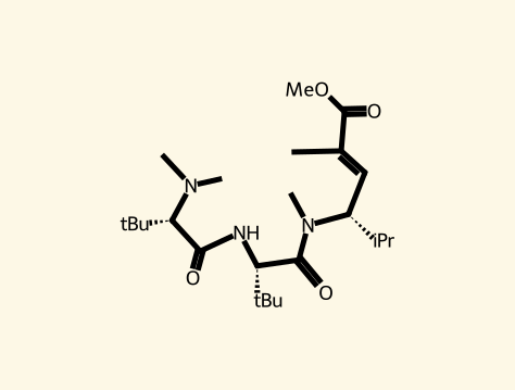 COC(=O)/C(C)=C/[C@H](C(C)C)N(C)C(=O)[C@@H](NC(=O)[C@@H](N(C)C)C(C)(C)C)C(C)(C)C